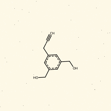 C#CCc1cc(CO)cc(CO)c1